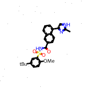 COc1ccc(C(C)(C)C)cc1S(=O)(=O)NC(=O)c1ccc2c(-c3c[nH]c(C)n3)cccc2c1